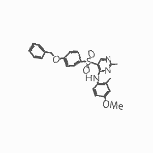 COc1ccc(Nc2nc(C)ncc2S(=O)(=O)c2ccc(OCc3ccccc3)cc2)c(C)c1